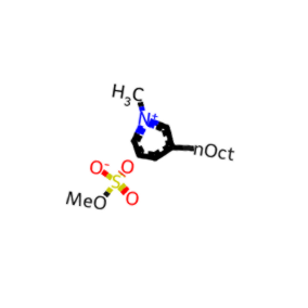 CCCCCCCCc1ccc[n+](C)c1.COS(=O)(=O)[O-]